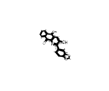 O=C1c2ccccc2C(=O)c2nc(-c3ccc4c(c3)OCO4)c(O)cc21